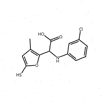 Cc1cc(S)oc1C(Nc1cccc(Cl)c1)C(=O)O